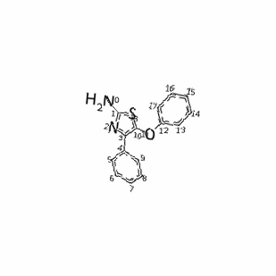 Nc1nc(-c2ccccc2)c(Oc2ccccc2)s1